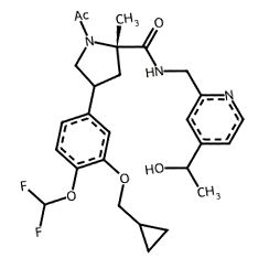 CC(=O)N1CC(c2ccc(OC(F)F)c(OCC3CC3)c2)C[C@@]1(C)C(=O)NCc1cc(C(C)O)ccn1